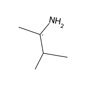 C[C](N)C(C)C